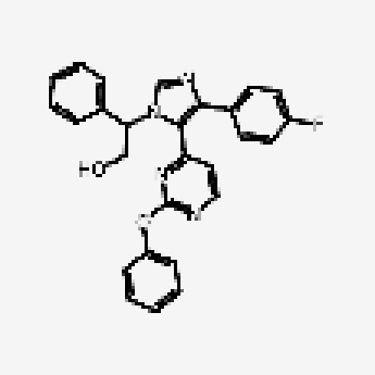 OCC(c1ccccc1)n1cnc(-c2ccc(F)cc2)c1-c1ccnc(Oc2ccccc2)n1